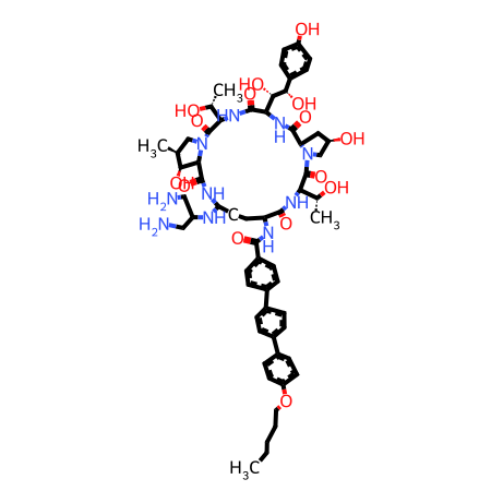 CCCCCOc1ccc(-c2ccc(-c3ccc(C(=O)NC4CCC(NC(CN)CN)NC(=O)C5[C@@H](O)[C@@H](C)CN5C(=O)C([C@@H](C)O)NC(=O)C([C@H](O)[C@@H](O)c5ccc(O)cc5)NC(=O)C5C[C@@H](O)CN5C(=O)C([C@@H](C)O)NC4=O)cc3)cc2)cc1